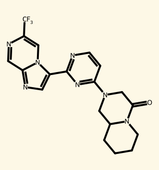 O=C1CN(c2ccnc(-c3cnc4cnc(C(F)(F)F)cn34)n2)CC2CCCCN12